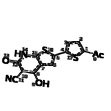 CC(=O)c1ccc(-c2cc3c(O)c(C#N)c(=O)[nH]c3s2)s1